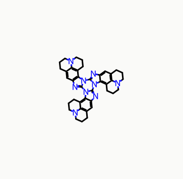 c1c2c3c(c4c1nc1n4c4nc5cc6c7c(c5n4c4nc5cc8c9c(c5n14)CCCN9CCC8)CCCN7CCC6)CCCN3CCC2